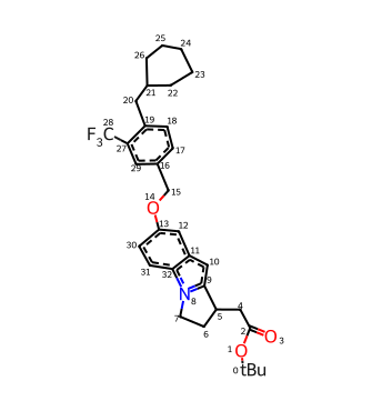 CC(C)(C)OC(=O)CC1CCn2c1cc1cc(OCc3ccc(CC4CCCCC4)c(C(F)(F)F)c3)ccc12